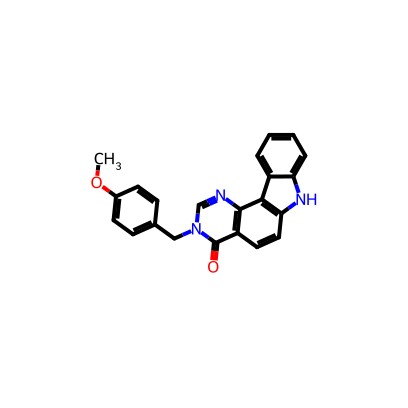 COc1ccc(Cn2cnc3c(ccc4[nH]c5ccccc5c43)c2=O)cc1